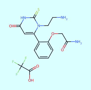 NCCn1c(-c2ccccc2OCC(N)=O)cc(=O)[nH]c1=S.O=C(O)C(F)(F)F